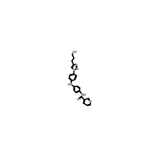 O=C(Nc1ccc(Nc2ccc(-n3cc(CCCO)nn3)cc2)cc1)c1cccnc1